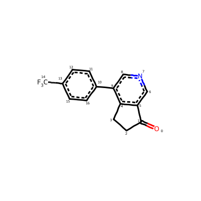 O=C1CCc2c1cncc2-c1ccc(C(F)(F)F)cc1